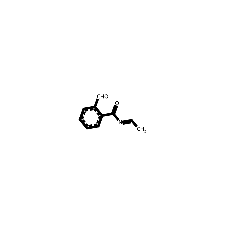 [CH2]C=NC(=O)c1ccccc1C=O